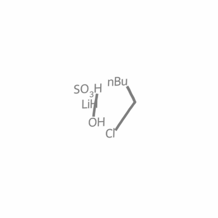 CCCCCCl.O=S(=O)(O)O.[LiH]